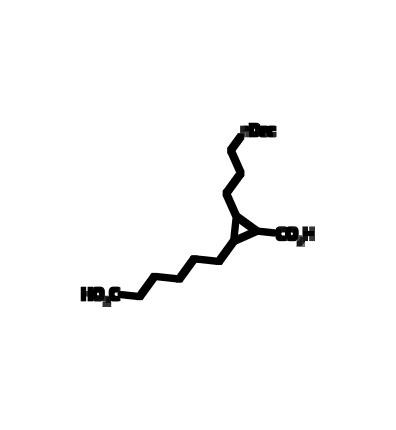 CCCCCCCCCCCCCC1C(CCCCCC(=O)O)C1C(=O)O